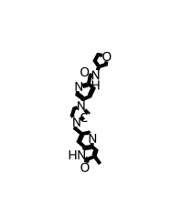 Cc1cc2ncc(CN3CCN(c4ccc(C(=O)NC5CCOC5)nc4)CC3)cc2[nH]c1=O